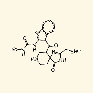 CCNC(=O)Nc1sc2ccccc2c1C(=O)C1CNCCC12N=C(CSC)NC2=O